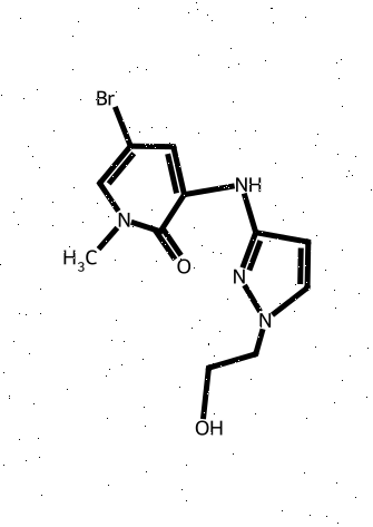 Cn1cc(Br)cc(Nc2ccn(CCO)n2)c1=O